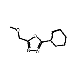 COCc1nnc(C2CCCCC2)o1